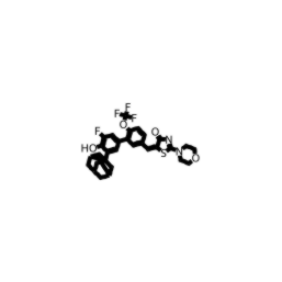 O=C1N=C(N2CCOCC2)S/C1=C/c1ccc(OC(F)(F)F)c(-c2cc(F)c(O)c(C34CC5CC(CC(C5)C3)C4)c2)c1